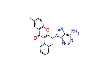 Cc1ccc2oc(Cn3cnc4c(N)ncnc43)c(-c3ccccc3C)c(=O)c2c1